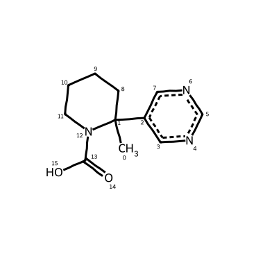 CC1(c2cncnc2)CCCCN1C(=O)O